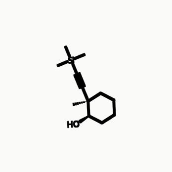 C[C@]1(C#C[Si](C)(C)C)CCCC[C@H]1O